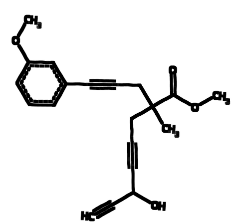 C#CC(O)C#CCC(C)(CC#Cc1cccc(OC)c1)C(=O)OC